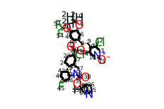 [2H]C([2H])([2H])Oc1cc([C@H](Cc2c(Cl)c[n+]([O-])cc2Cl)OC(=O)c2cccc(CN(C(=O)O[C@H]3CN4CCC3CC4)c3cccc(F)c3)c2)ccc1OC(F)F